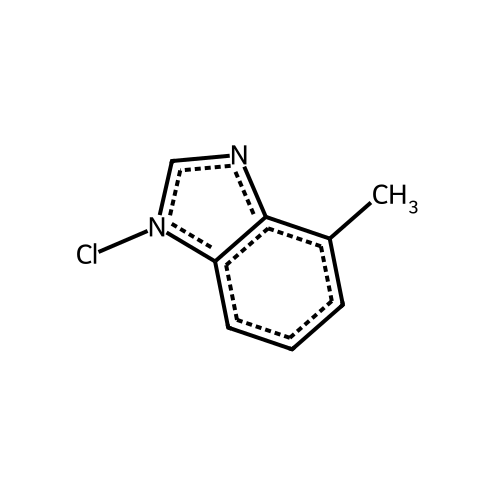 Cc1cccc2c1ncn2Cl